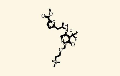 COC(=O)c1ccc(CC(C)Nc2cnn(COCC[Si](C)(C)C)c(=O)c2C(F)(F)F)s1